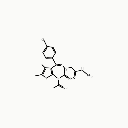 CC(=N)N1C(=N)[C@H](CC(=O)NN)N=C(c2ccc(Cl)cc2)c2c1sc(C)c2C